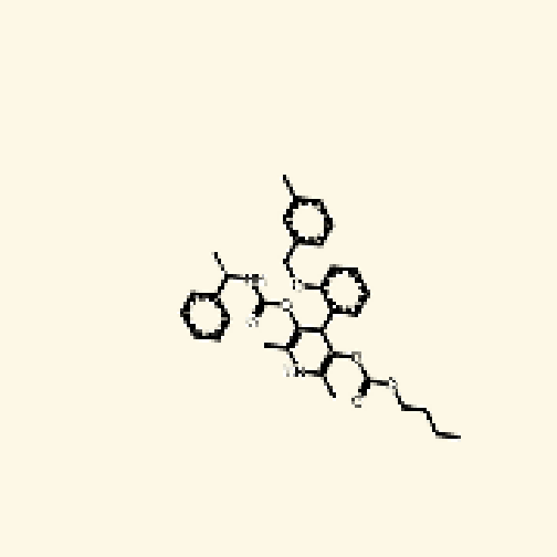 CCCCOC(=O)OC1=C(C)NC(C)=C(OC(=O)N[C@H](C)c2ccccc2)C1c1ccccc1OCc1cccc(C)c1